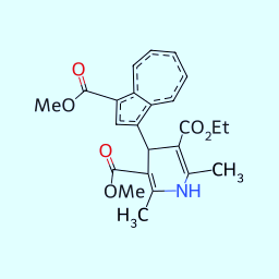 CCOC(=O)C1=C(C)NC(C)=C(C(=O)OC)C1c1cc(C(=O)OC)c2cccccc1-2